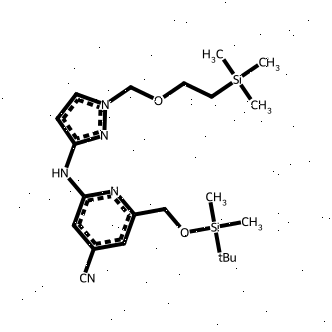 CC(C)(C)[Si](C)(C)OCc1cc(C#N)cc(Nc2ccn(COCC[Si](C)(C)C)n2)n1